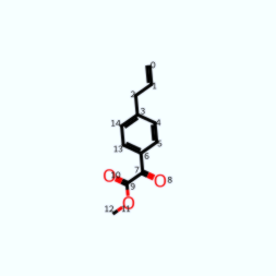 C=CCc1ccc(C(=O)C(=O)OC)cc1